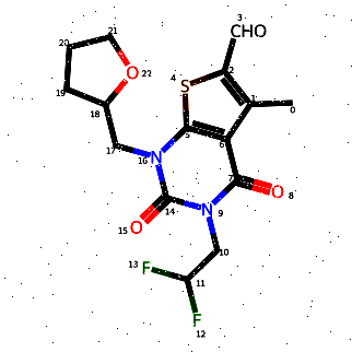 Cc1c(C=O)sc2c1c(=O)n(CC(F)F)c(=O)n2CC1CCCO1